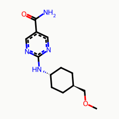 COC[C@H]1CC[C@H](Nc2ncc(C(N)=O)cn2)CC1